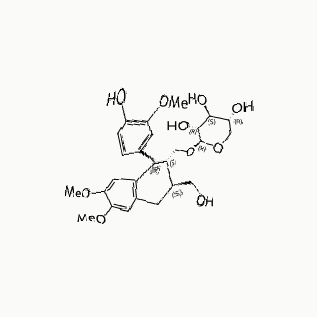 COc1cc([C@@H]2c3cc(OC)c(OC)cc3C[C@H](CO)[C@H]2CO[C@@H]2OC[C@@H](O)[C@H](O)[C@H]2O)ccc1O